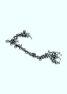 Cc1nc2cc(F)c(-c3cnc(N4CCN(C(=O)COCCn5cc(COCCOCCOCCOCCNC(=O)CC[C@H](NC(=O)c6ccc(SCCc7cc8c(=O)[nH]c(N)nc8[nH]7)cc6)C(=O)OC(C)(C)C)nn5)CC4)nc3)nc2c(N[C@H](C)c2cc(C#N)ccc2F)c1Cl